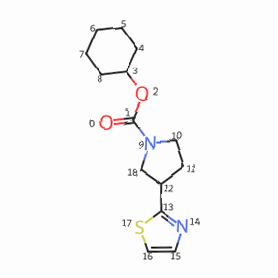 O=C(OC1CCCCC1)N1CCC(c2nccs2)C1